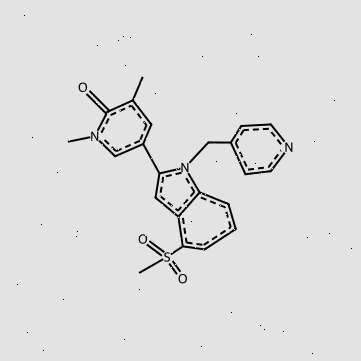 Cc1cc(-c2cc3c(S(C)(=O)=O)cccc3n2Cc2ccncc2)cn(C)c1=O